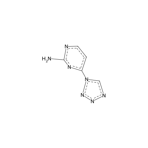 Nc1nccc(-n2cnnn2)n1